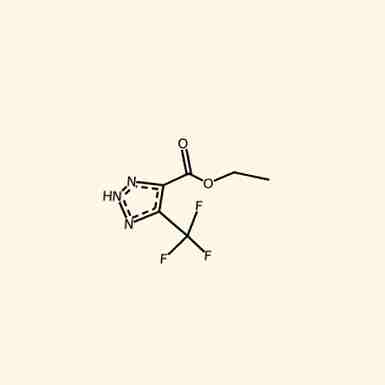 CCOC(=O)c1n[nH]nc1C(F)(F)F